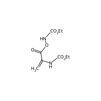 C=C(NC(=O)OCC)C(=O)ONC(=O)OCC